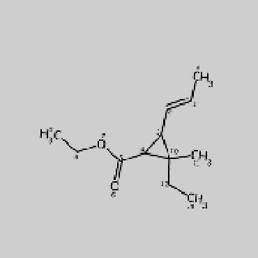 CC=CC1C(C(=O)OCC)C1(C)CC